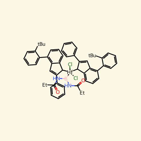 CCC(=O)N[B](NC(=O)CC)[Hf]([Cl])([Cl])([CH]1C(c2ccccc2)=Cc2c(-c3ccccc3C(C)(C)C)cccc21)[CH]1C(c2ccccc2)=Cc2c(-c3ccccc3C(C)(C)C)cccc21